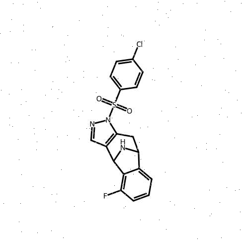 O=S(=O)(c1ccc(Cl)cc1)n1ncc2c1CC1NC2c2c(F)cccc21